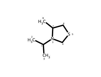 CC(C)N1CSCC1C